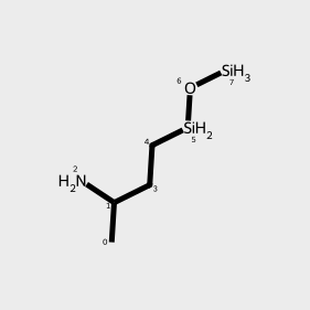 CC(N)CC[SiH2]O[SiH3]